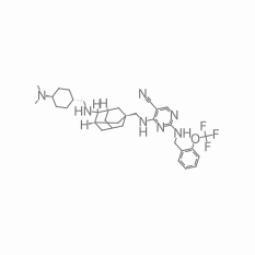 CN(C)[C@H]1CC[C@H](CN[C@@H]2[C@@H]3CC4C[C@H]2C[C@@](CNc2nc(NCc5ccccc5OC(F)(F)F)ncc2C#N)(C4)C3)CC1